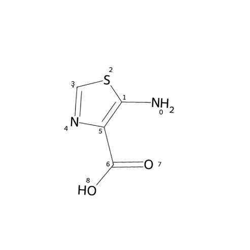 Nc1s[c]nc1C(=O)O